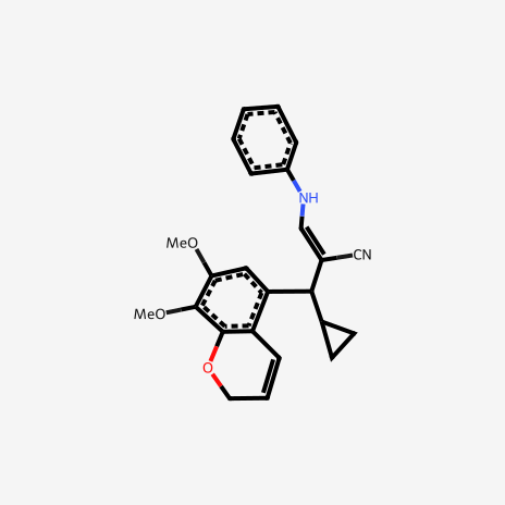 COc1cc(C(C(C#N)=CNc2ccccc2)C2CC2)c2c(c1OC)OCC=C2